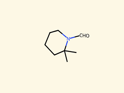 CC1(C)CCCCN1C=O